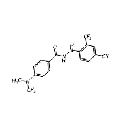 CN(C)c1ccc(C(=O)NNc2ccc(C#N)cc2C(F)(F)F)cc1